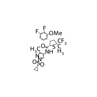 COc1c([C@@H]2C[C@](C)(C(F)(F)F)S[C@H]2C(=O)Nc2cn(S(=O)(=O)C3CC3)nc2C)ccc(F)c1F